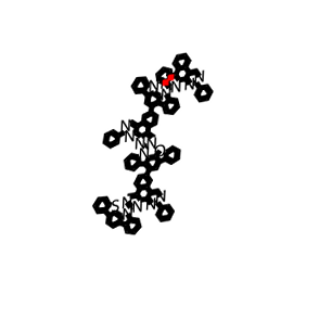 c1ccc(-c2ncc3c4cc(-c5cc6c7ccccc7oc6c6c5c5ccccc5n6-c5ncc6c7ccc(-c8cc9c%10ccccc%10n(-c%10ccccc%10)c9c9c8c8ccccc8n9-c8ncc9c%10ccccc%10c%10cnc(-c%11ccccc%11)nc%10c9n8)cc7c7cnc(-c8ccccc8)nc7c6n5)ccc4c4cnc(-n5c6ccccc6c6ccc7c8ccccc8sc7c65)nc4c3n2)cc1